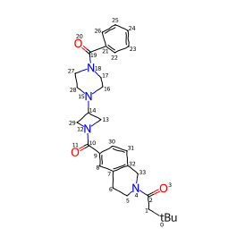 CC(C)(C)CC(=O)N1CCc2cc(C(=O)N3CC(N4CCN(C(=O)c5ccccc5)CC4)C3)ccc2C1